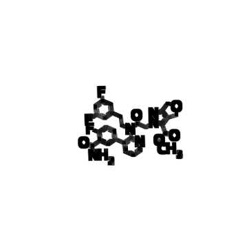 COC(=O)c1c2c(nn1CC(=O)N(CCc1cc(F)cc(F)c1)c1ncccc1-c1ccc(F)c(C(N)=O)c1)COC2